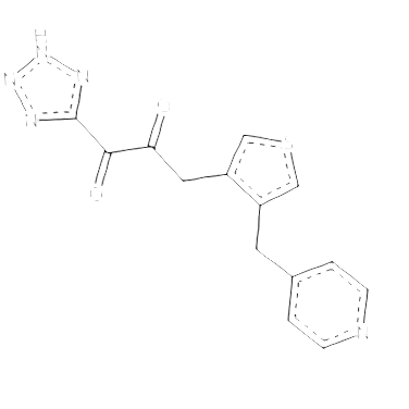 O=C(Cc1cscc1Cc1ccncc1)C(=O)c1nn[nH]n1